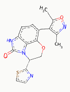 Cc1noc(C)c1-c1ccc2[nH]c(=O)n3c2c1OCC3c1nccs1